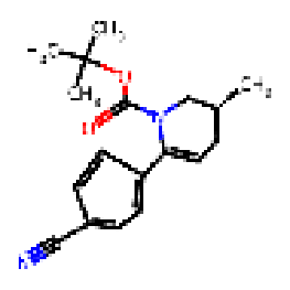 C[C@H]1CC=C(c2ccc(C#N)cc2)N(C(=O)OC(C)(C)C)C1